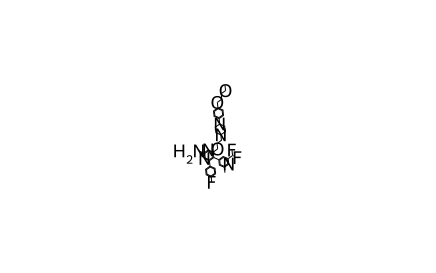 COCCOc1ccc(N2CCN(CCOc3nc(N)nc(-c4ccc(F)cc4)c3-c3cc(C)nc(C(F)F)c3)CC2)cc1